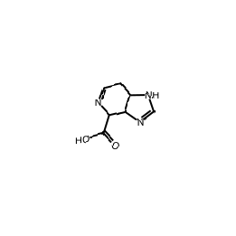 O=C(O)C1N=CCC2NC=NC21